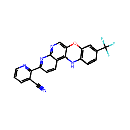 N#Cc1cccnc1-c1ccc2c3c(cnc2n1)Oc1cc(C(F)(F)F)ccc1N3